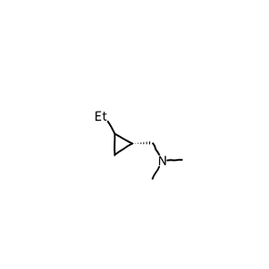 CCC1C[C@H]1CN(C)C